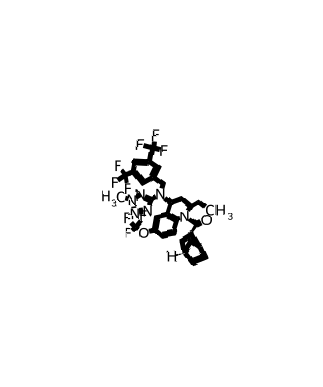 CCC1CC(N(Cc2cc(C(F)(F)F)cc(C(F)(F)F)c2)c2nnn(C)n2)c2cc(OC(F)(F)F)ccc2N1C(=O)[C@@H]1C[C@@H]2C=CC1C2